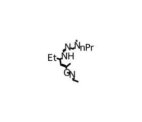 C/C=N/O/C(C)=C/C(CC)N/C=N\CN(C)CCC